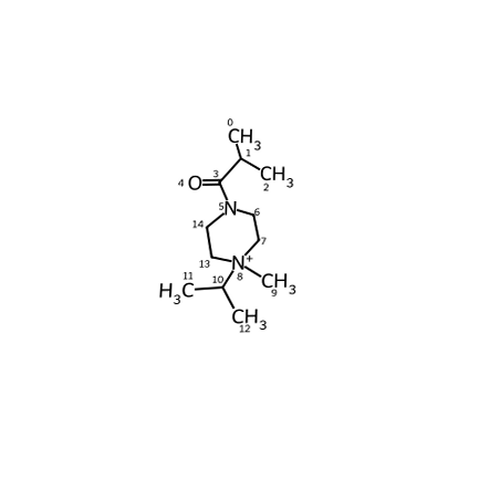 CC(C)C(=O)N1CC[N+](C)(C(C)C)CC1